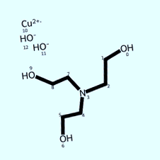 OCCN(CCO)CCO.[Cu+2].[OH-].[OH-]